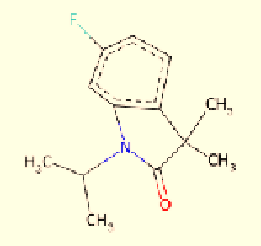 CC(C)N1C(=O)C(C)(C)c2ccc(F)cc21